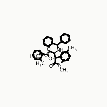 CCOC(=O)[C@@H](NC(c1ccccc1)c1ccccc1)[C@]1(OCc2ccccc2C)C(=O)N(C)c2ccc(C)cc21